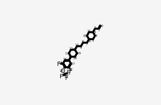 C=CCC1CCC(CCCCC2CCC(c3cc(F)c(OC(F)(F)F)c(F)c3)CC2)CC1